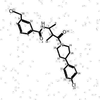 CC(NC(=O)c1cccc(CCl)c1)C(C)C(=O)N1CCC(c2ccc(Cl)cc2)CC1